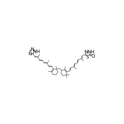 CC1=C(/C=C/C(C)=C/C=C/C(C)=C/c2ncn[nH]2)C(C)(CC2CCC(C)(C)C(/C=C/C(C)=C/C=C/C(C)=C/c3n[nH]c(=O)s3)=C2C)CCC1